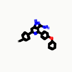 [CH]c1ccc(-c2cc3[nH]nc(N)c3c(-c3ccc(Oc4ccccc4)cc3)n2)cc1